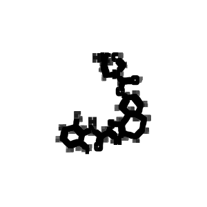 C=CN(/C=C\C)C(=O)Oc1ccc2c(c1)-c1sc(C(=O)Nc3c(F)cccc3F)nc1CCC2